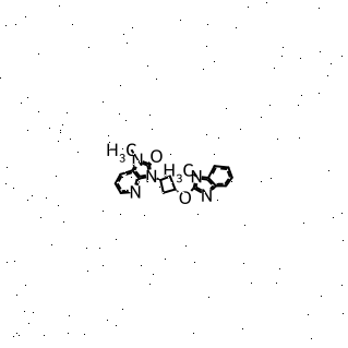 Cn1c(O[C@H]2C[C@H](n3c(=O)n(C)c4cccnc43)C2)nc2ccccc21